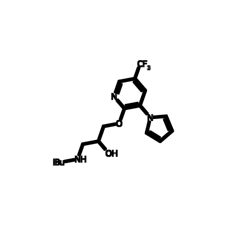 CCC(C)NCC(O)COc1ncc(C(F)(F)F)cc1-n1cccc1